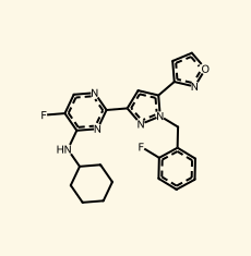 Fc1ccccc1Cn1nc(-c2ncc(F)c(NC3CCCCC3)n2)cc1-c1ccon1